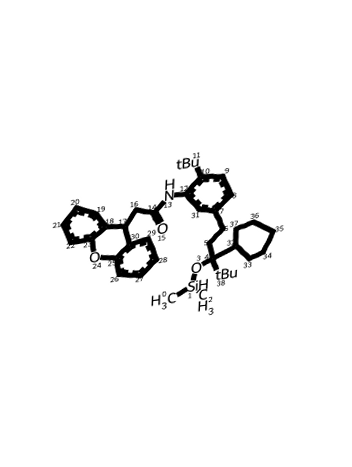 C[SiH](C)OC(CCc1ccc(C(C)(C)C)c(NC(=O)CC2c3ccccc3Oc3ccccc32)c1)(C1CCCCC1)C(C)(C)C